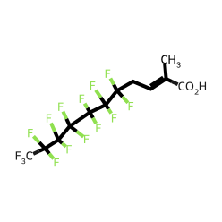 CC(=CCC(F)(F)C(F)(F)C(F)(F)C(F)(F)C(F)(F)C(F)(F)C(F)(F)F)C(=O)O